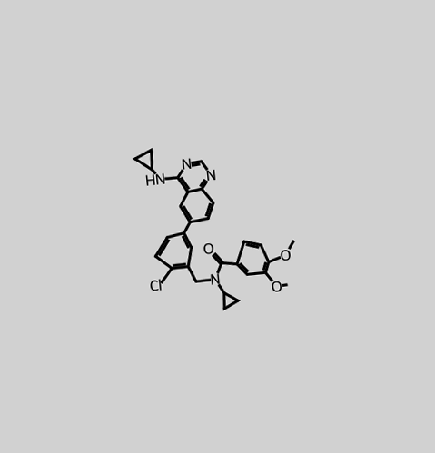 COc1ccc(C(=O)N(Cc2cc(-c3ccc4ncnc(NC5CC5)c4c3)ccc2Cl)C2CC2)cc1OC